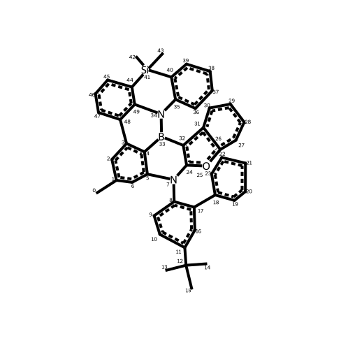 Cc1cc2c3c(c1)N(c1ccc(C(C)(C)C)cc1-c1ccccc1)c1oc4ccccc4c1B3N1c3ccccc3[Si](C)(C)c3cccc-2c31